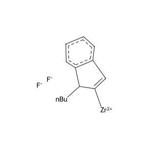 CCCCC1[C]([Zr+2])=Cc2ccccc21.[F-].[F-]